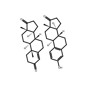 C[C@]12CCC(=O)C=C1CC[C@@H]1[C@@H]2CC[C@]2(C)C(=O)CC[C@@H]12.C[C@]12CC[C@@H]3c4ccc(O)cc4CC[C@H]3[C@@H]1CCC2=O